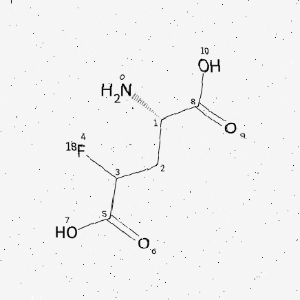 N[C@@H](CC([18F])C(=O)O)C(=O)O